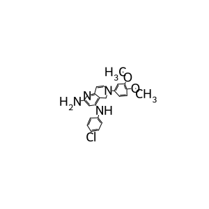 COc1ccc(N2C=Cc3nc(N)cc(Nc4ccc(Cl)cc4)c3C2)cc1OC